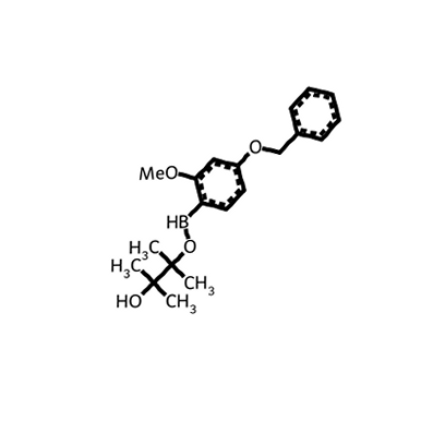 COc1cc(OCc2ccccc2)ccc1BOC(C)(C)C(C)(C)O